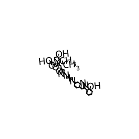 CC(C)[C@@H](C(=O)N1C[C@H](O)C[C@H]1C(=O)O)c1cc(N2CC3(CN(c4ccc5cc(-c6ccccc6O)nnc5c4)C3)C2)no1